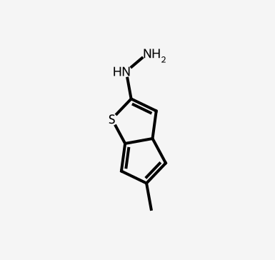 CC1=CC2C=C(NN)SC2=C1